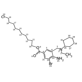 CCN(Cc1cc(C(=O)OCCCCCCCCCCCl)cc(Br)c1N)C1CCCCC1